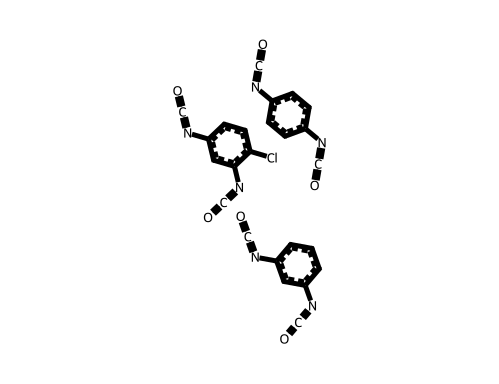 O=C=Nc1ccc(Cl)c(N=C=O)c1.O=C=Nc1ccc(N=C=O)cc1.O=C=Nc1cccc(N=C=O)c1